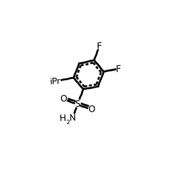 CC(C)c1cc(F)c(F)cc1S(N)(=O)=O